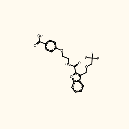 O=C(O)c1ccc(OCCNC(=O)c2oc3ccccc3c2COCC(F)(F)F)cc1